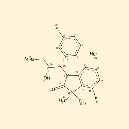 CNC[C@@H](O)[C@H](c1cccc(F)c1)N1C(=O)C(C)(C)c2c(F)cccc21.Cl